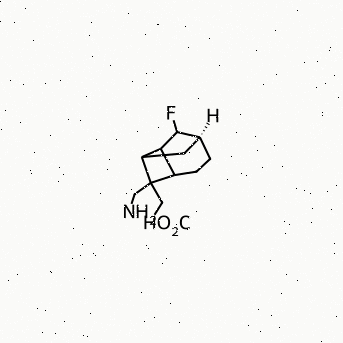 NCC1(CC(=O)O)C2CC[C@H]3CC1C2C3F